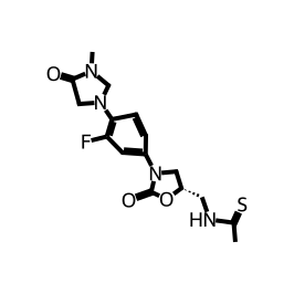 CC(=S)NC[C@H]1CN(c2ccc(N3CC(=O)N(C)C3)c(F)c2)C(=O)O1